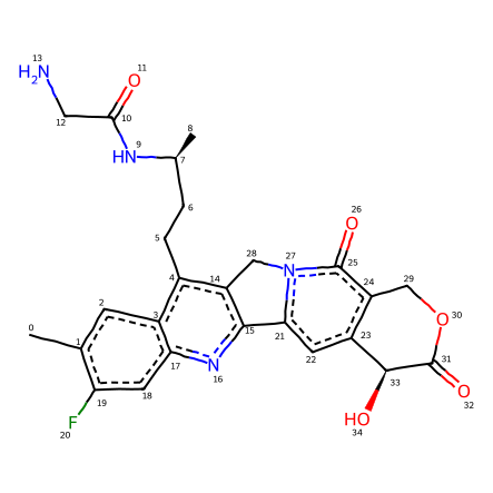 Cc1cc2c(CC[C@H](C)NC(=O)CN)c3c(nc2cc1F)-c1cc2c(c(=O)n1C3)COC(=O)[C@H]2O